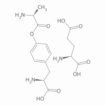 C[C@H](N)C(=O)Oc1ccc(C[C@H](N)C(=O)O)cc1.N[C@@H](CCC(=O)O)C(=O)O